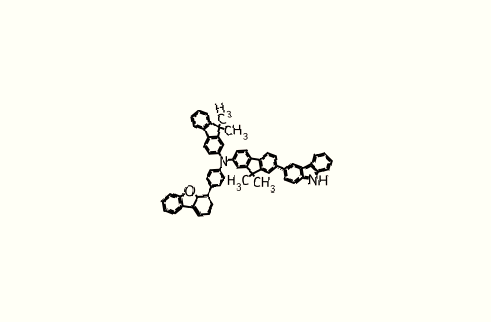 CC1(C)c2ccccc2-c2ccc(N(c3ccc(C4C=CC=C5c6ccccc6OC54)cc3)c3ccc4c(c3)C(C)(C)c3cc(-c5ccc6[nH]c7ccccc7c6c5)ccc3-4)cc21